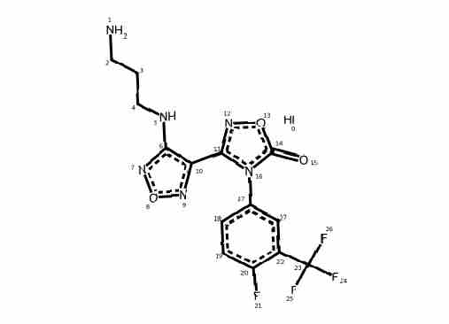 I.NCCCNc1nonc1-c1noc(=O)n1-c1ccc(F)c(C(F)(F)F)c1